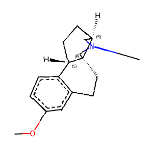 COc1ccc2c(c1)CC[C@]13CN(C)C[C@H]1CC[C@@H]23